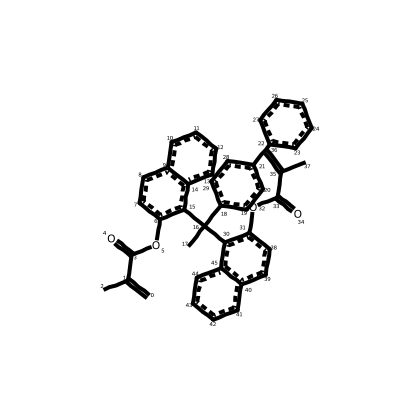 C=C(C)C(=O)Oc1ccc2ccccc2c1C(C)(c1ccc(-c2ccccc2)cc1)c1c(OC(=O)C(=C)C)ccc2ccccc12